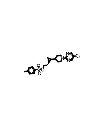 Cc1ccc(S(=O)(=O)OCC[C@@H]2CC2C2CCN(c3ncc(Cl)cn3)CC2)cc1